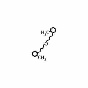 Cc1ccccc1CC=CCOCC=CCc1ccccc1C